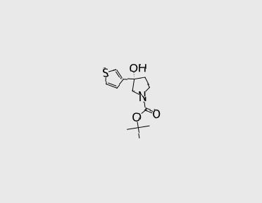 CC(C)(C)OC(=O)N1CC[C@](O)(c2ccsc2)C1